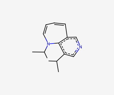 CC(C)c1cncc2c1N(C(C)C)C=CC=C2